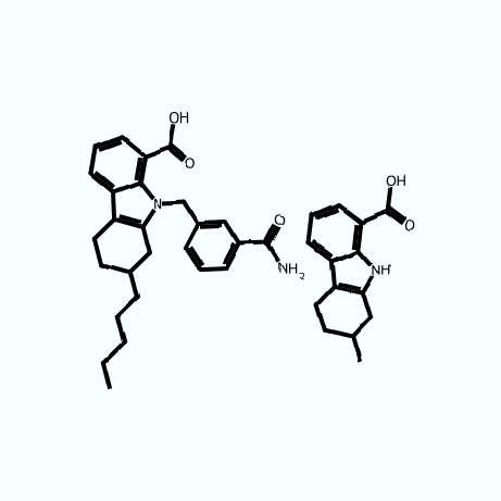 CC1CCc2c([nH]c3c(C(=O)O)cccc23)C1.CCCCCC1CCc2c(n(Cc3cccc(C(N)=O)c3)c3c(C(=O)O)cccc23)C1